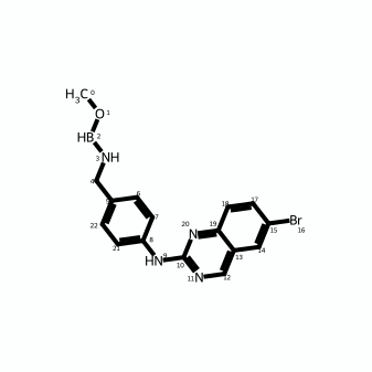 COBNCc1ccc(Nc2ncc3cc(Br)ccc3n2)cc1